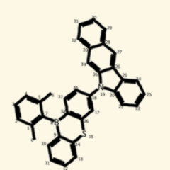 Cc1cccc(C)c1B1c2ccccc2Sc2cc(-n3c4ccccc4c4cc5ccccc5cc43)ccc21